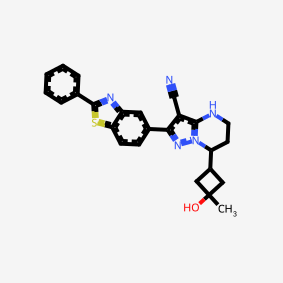 CC1(O)CC(C2CCNc3c(C#N)c(-c4ccc5sc(-c6ccccc6)nc5c4)nn32)C1